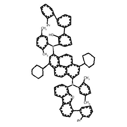 Cc1ccc(C)c(N(c2cccc(-c3cccc(-c4ccccc4C(C)C)c3)c2O)c2cc(C3CCCCC3)c3ccc4c(N(c5cc(C)ccc5C)c5cccc6c5oc5c(-c7ccccc7C(C)C)cccc56)cc(C5CCCCC5)c5ccc2c3c54)c1